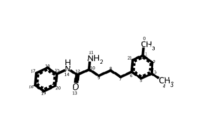 Cc1cc(C)cc(CCCC(N)C(=O)Nc2ccccc2)c1